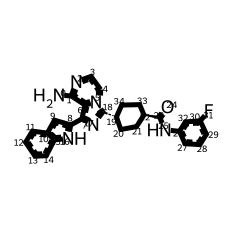 Nc1nccn2c1c(-c1cc3ccccc3[nH]1)nc2[C@H]1CC[C@H](C(=O)Nc2cccc(F)c2)CC1